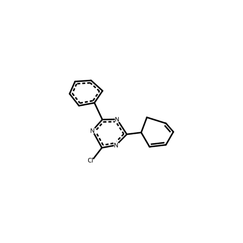 Clc1nc(-c2ccccc2)nc(C2C=CC=CC2)n1